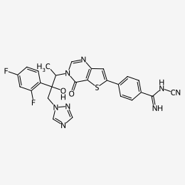 CC(n1cnc2cc(-c3ccc(C(=N)NC#N)cc3)sc2c1=O)C(O)(Cn1cncn1)c1ccc(F)cc1F